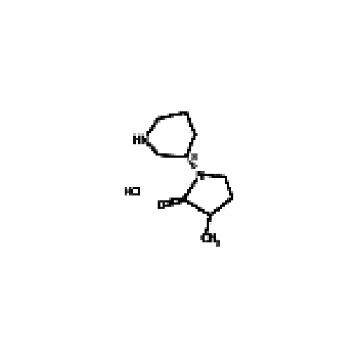 CC1CCN([C@H]2CCCNC2)C1=O.Cl